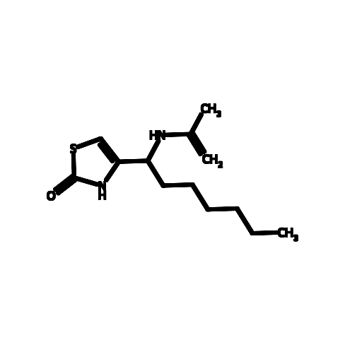 C=C(C)NC(CCCCCC)c1csc(=O)[nH]1